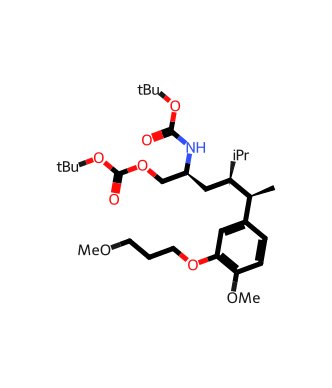 COCCCOc1cc([C@H](C)[C@@H](C[C@@H](COC(=O)OC(C)(C)C)NC(=O)OC(C)(C)C)C(C)C)ccc1OC